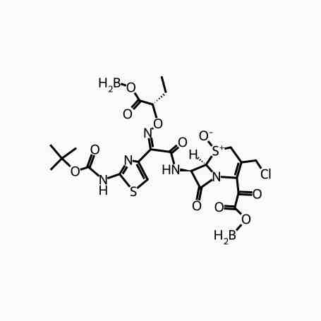 BOC(=O)C(=O)C1=C(CCl)C[S+]([O-])[C@@H]2[C@H](NC(=O)/C(=N\O[C@@H](CC)C(=O)OB)c3csc(NC(=O)OC(C)(C)C)n3)C(=O)N12